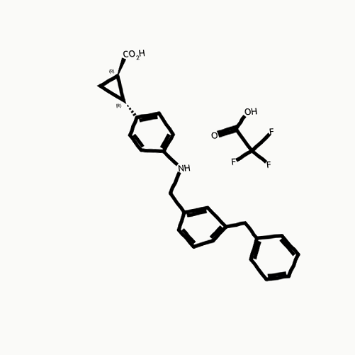 O=C(O)C(F)(F)F.O=C(O)[C@@H]1C[C@H]1c1ccc(NCc2cccc(Cc3ccccc3)c2)cc1